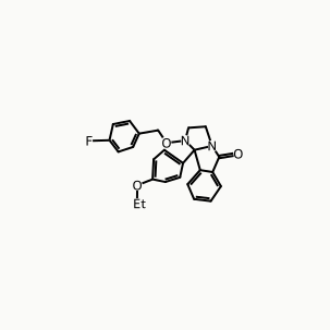 CCOc1ccc(C23c4ccccc4C(=O)N2CCN3OCc2ccc(F)cc2)cc1